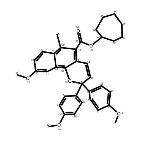 COc1ccc(C2(c3ccc(OC)cc3)C=Cc3c(C(=O)OC4CCCCCC4)c(C)c4ccc(OC)cc4c3O2)cc1